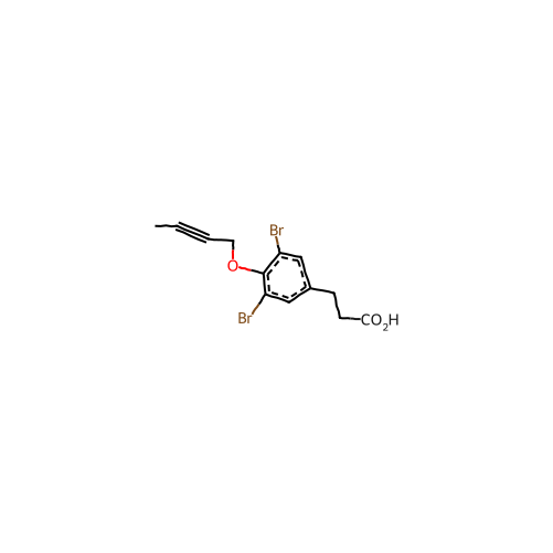 CC#CCOc1c(Br)cc(CCC(=O)O)cc1Br